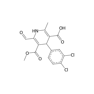 COC(=O)C1=C(C=O)NC(C)=C(C(=O)O)C1c1ccc(Cl)c(Cl)c1